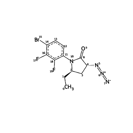 CC[C@@H]1C[C@@H](N=[N+]=[N-])C(=O)N1c1ccc(Br)c(F)c1F